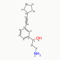 NCCC(O)c1cccc(C#CC2CCCC2)c1